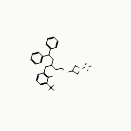 CS(=O)(=O)N1CC(OCC[C](Cc2cccc(C(F)(F)F)c2Cl)CC(c2ccccc2)c2ccccc2)C1